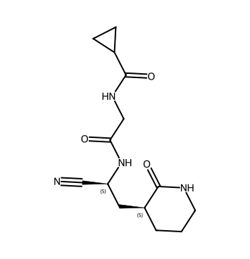 N#C[C@H](C[C@@H]1CCCNC1=O)NC(=O)CNC(=O)C1CC1